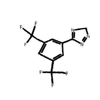 FC(F)(F)c1cc(C2=NCN=N2)cc(C(F)(F)F)c1